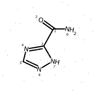 NC(=O)c1n[c]n[nH]1